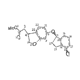 COC(=O)CC1COc2cc(O[C@@H]3CCc4c(Cl)cccc43)ccc21